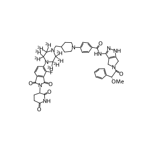 [2H]C1([2H])N(CC2CCN(c3ccc(C(=O)Nc4n[nH]c5c4CN(C(=O)[C@H](OC)c4ccccc4)C5)cc3)CC2)C([2H])([2H])C([2H])([2H])N(c2ccc3c(c2F)C(=O)N(C2CCC(=O)NC2=O)C3=O)C1([2H])[2H]